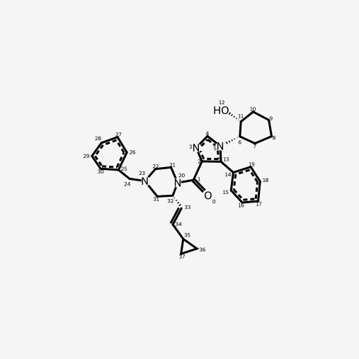 O=C(c1ncn([C@H]2CCCC[C@H]2O)c1-c1ccccc1)N1CCN(Cc2ccccc2)C[C@H]1/C=C/C1CC1